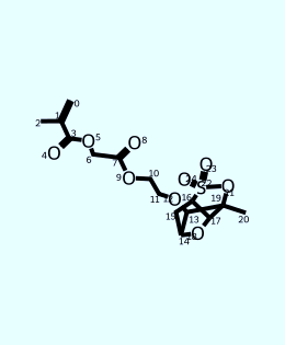 C=C(C)C(=O)OCC(=O)OCCOC1C2CC3C(O2)C1(C)OS3(=O)=O